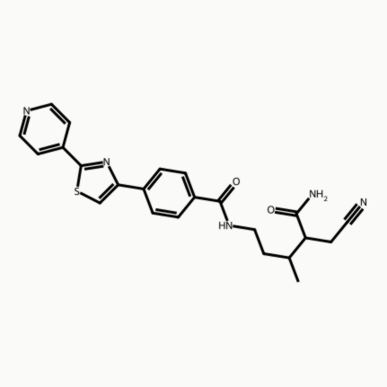 CC(CCNC(=O)c1ccc(-c2csc(-c3ccncc3)n2)cc1)C(CC#N)C(N)=O